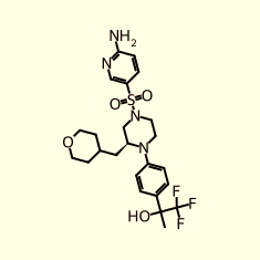 CC(O)(c1ccc(N2CCN(S(=O)(=O)c3ccc(N)nc3)C[C@@H]2CC2CCOCC2)cc1)C(F)(F)F